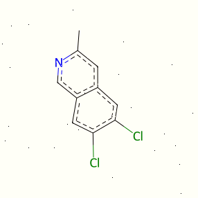 Cc1cc2cc(Cl)c(Cl)cc2cn1